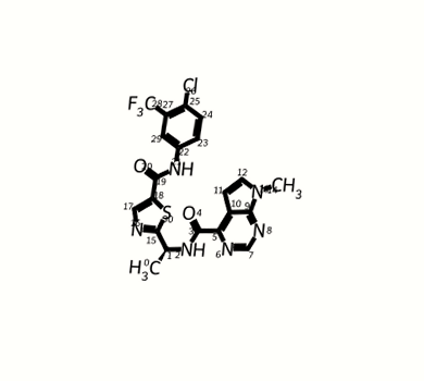 C[C@H](NC(=O)c1ncnc2c1ccn2C)c1ncc(C(=O)Nc2ccc(Cl)c(C(F)(F)F)c2)s1